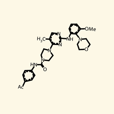 COc1cccc(Nc2ncc(C)c(N3CCN(C(=O)Nc4ccc(C(C)=O)cc4)CC3)n2)c1N1CCOCC1